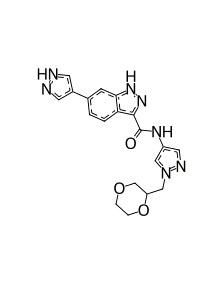 O=C(Nc1cnn(CC2COCCO2)c1)c1n[nH]c2cc(-c3cn[nH]c3)ccc12